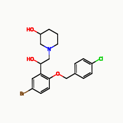 OC1CCCN(CC(O)c2cc(Br)ccc2OCc2ccc(Cl)cc2)C1